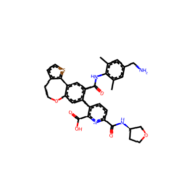 Cc1cc(CN)cc(C)c1NC(=O)c1cc2c(cc1-c1ccc(C(=O)N[C@@H]3CCOC3)nc1C(=O)O)OCCc1ccsc1-2